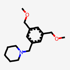 COCc1cc(COC)cc(CN2CCCCC2)c1